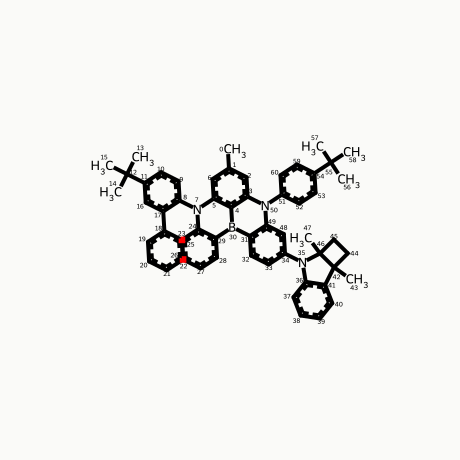 Cc1cc2c3c(c1)N(c1ccc(C(C)(C)C)cc1-c1ccccc1)c1ccccc1B3c1ccc(N3c4ccccc4C4(C)CCC34C)cc1N2c1ccc(C(C)(C)C)cc1